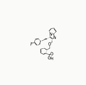 O=C(O)c1ccccc1COCc1nc2ccccn2c1C#Cc1ccc(F)cc1